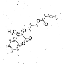 C=CC(=O)OCCCOc1c(C)c2ccccc2oc1=O